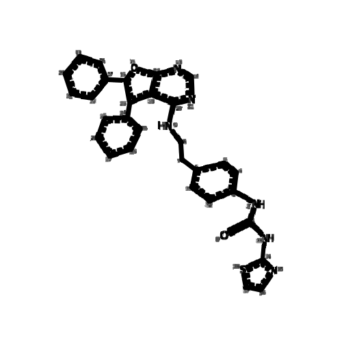 O=C(Nc1ccc(CCNc2ncnc3oc(-c4ccccc4)c(-c4ccccc4)c23)cc1)Nc1nccs1